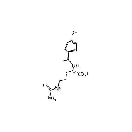 CC(N[C@@H](CCCNC(=N)N)C(=O)O)c1ccc(O)cc1